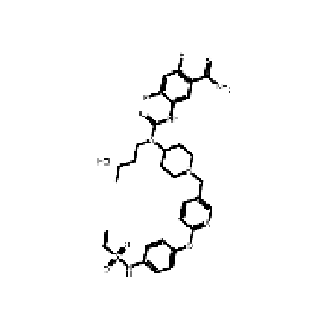 CCCCN(C(=O)Nc1cc(C(N)=O)c(F)cc1F)C1CCN(Cc2ccc(Oc3ccc(NS(=O)(=O)CC)cc3)nc2)CC1.Cl